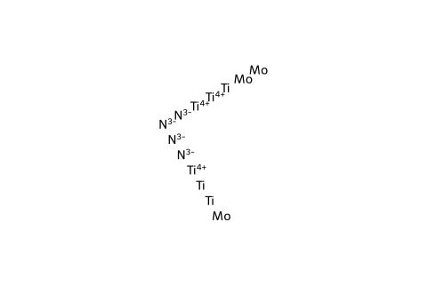 [Mo].[Mo].[Mo].[N-3].[N-3].[N-3].[N-3].[Ti+4].[Ti+4].[Ti+4].[Ti].[Ti].[Ti]